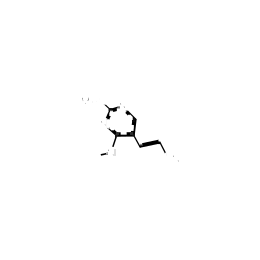 CCNc1nc(SC)ncc1C=CC#N